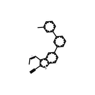 C#Cc1sc2ccc(-c3cccc(-c4cccc(C)c4)c3)cc2c1/C=C\C